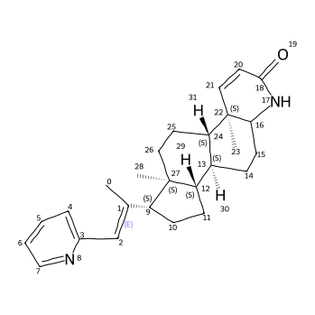 C/C(=C\c1ccccn1)[C@H]1CC[C@H]2[C@@H]3CCC4NC(=O)C=C[C@]4(C)[C@H]3CC[C@]12C